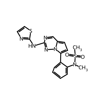 CN(c1ccccc1-c1ccc2cnc(Nc3nccs3)nn12)S(C)(=O)=O